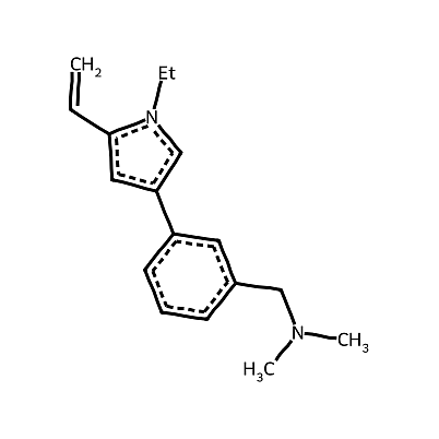 C=Cc1cc(-c2cccc(CN(C)C)c2)cn1CC